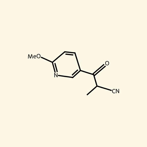 COc1ccc(C(=O)C(C)C#N)cn1